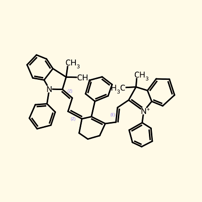 CC1(C)C(/C=C/C2=C(c3ccccc3)C(=C\C=C3/N(c4ccccc4)c4ccccc4C3(C)C)/CCC2)=[N+](c2ccccc2)c2ccccc21